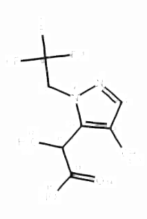 Cc1cnn(CC(F)(F)F)c1C(C)C(=O)O